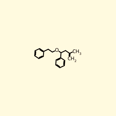 C=C(C)CC(OCCc1ccccc1)c1ccccc1